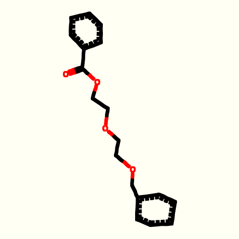 O=C(OCCOCCOCc1ccccc1)c1ccccc1